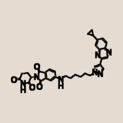 O=C1CCC(N2C(=O)c3ccc(NCCCCCCn4cc(-c5cnc6ccc(C7CC7)cc6n5)cn4)cc3C2=O)C(=O)N1